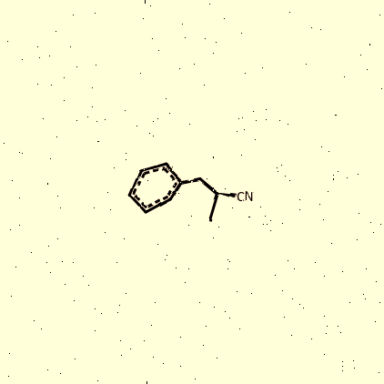 C[C@H](C#N)Cc1ccccc1